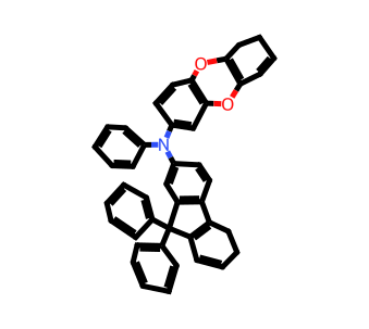 C1=CC2=C(CC1)Oc1ccc(N(c3ccccc3)c3ccc4c(c3)C(c3ccccc3)(c3ccccc3)C3=C4CCC=C3)cc1O2